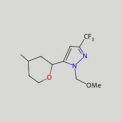 COCn1nc(C(F)(F)F)cc1C1CC(C)CCO1